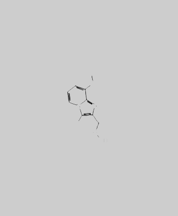 COCc1nc2c(OC)cccn2c1C